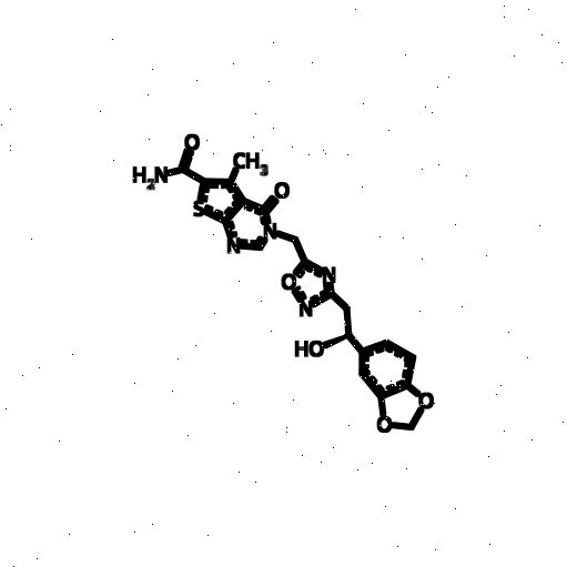 Cc1c(C(N)=O)sc2ncn(Cc3nc(C[C@H](O)c4ccc5c(c4)OCO5)no3)c(=O)c12